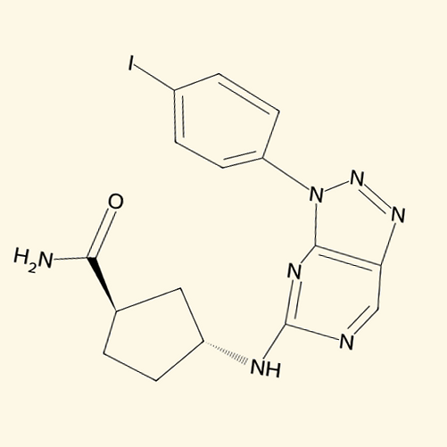 NC(=O)[C@@H]1CC[C@@H](Nc2ncc3nnn(-c4ccc(I)cc4)c3n2)C1